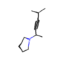 CC(C)C#CC(C)N1CCCC1